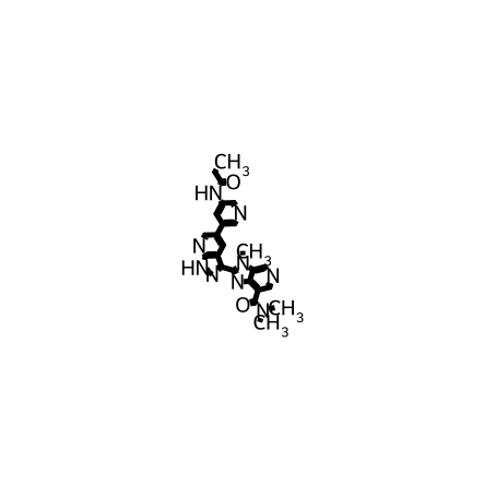 CCC(=O)Nc1cncc(-c2cnc3[nH]nc(-c4nc5c(C(=O)N(C)C)cncc5n4C)c3c2)c1